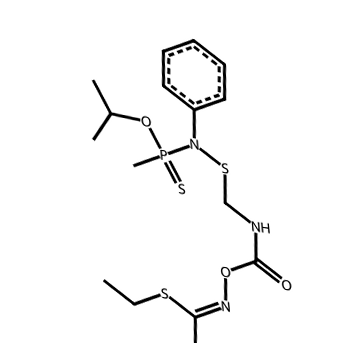 CCSC(C)=NOC(=O)NCSN(c1ccccc1)P(C)(=S)OC(C)C